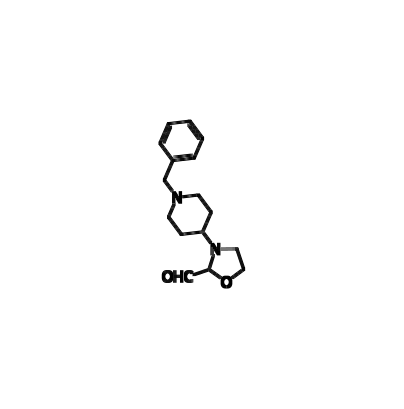 O=CC1OCCN1C1CCN(Cc2ccccc2)CC1